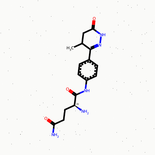 CC1CC(=O)NN=C1c1ccc(NC(=O)[C@@H](N)CCC(N)=O)cc1